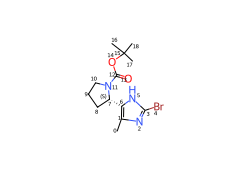 Cc1nc(Br)[nH]c1[C@@H]1CCCN1C(=O)OC(C)(C)C